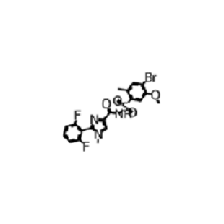 COc1cc(S(=O)(=O)NC(=O)c2cn(C)c(-c3c(F)cccc3F)n2)c(C)cc1Br